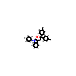 Cc1ccc(C(O)(Cc2cn(-c3ccccc3)c3ccccc23)c2ccc(C)cc2)cc1